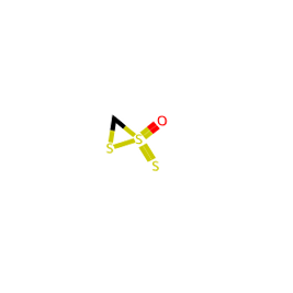 O=S1(=S)CS1